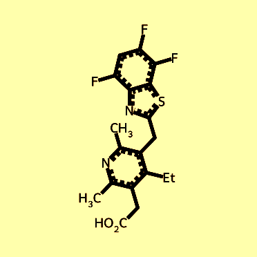 CCc1c(CC(=O)O)c(C)nc(C)c1Cc1nc2c(F)cc(F)c(F)c2s1